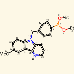 CCOP(OCC)c1ccc(Cn2c3ccc(OC)cc3c3ncccc32)cc1